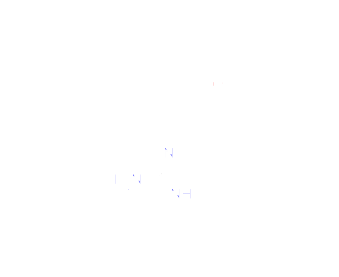 N=C(N)N1CCC([C]=O)CC1